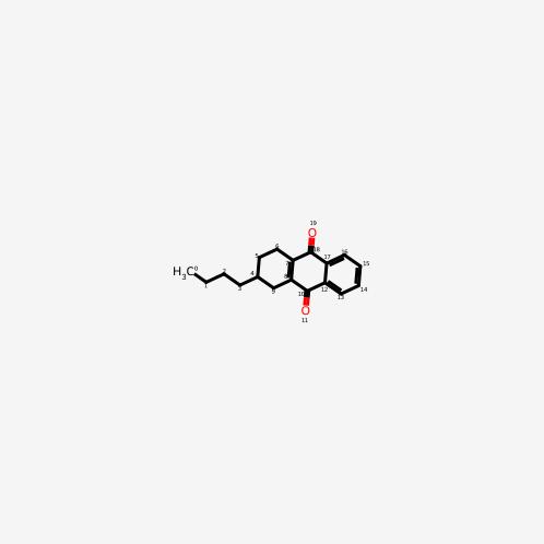 CCCCC1CCC2=C(C1)C(=O)c1ccccc1C2=O